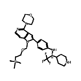 C[Si](C)(C)CCOCn1c(-c2ccc(N[C@@H](C3CCNCC3)C(F)(F)F)cc2)cc2c(N3CCOCC3)nccc21